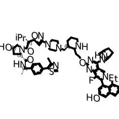 CCc1cccc2cc(O)cc(-c3ncc4c(N5CC6CCC(C5)N6)nc(OCCC5NCCC[C@@H]5CN5CCN(c6cc([C@H](C(=O)N7C[C@H](O)C[C@H]7C(=O)N[C@@H](C)c7ccc(-c8scnc8C)cc7)C(C)C)on6)CC5)nc4c3F)c12